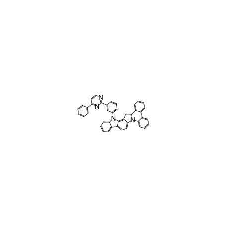 c1ccc(-c2ccnc(-c3cccc(-n4c5ccccc5c5ccc6c(cc7c8ccccc8c8ccccc8n76)c54)c3)n2)cc1